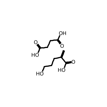 C=C(CCCO)C(=O)O.O=C(O)CCC(=O)O